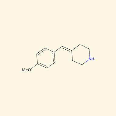 COc1ccc(C=C2CCNCC2)cc1